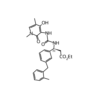 CCOC(=O)C[C@H](NC(=O)Nc1c(O)c(C)cn(C)c1=O)c1cccc(Cc2ccccc2C)c1